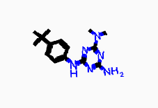 CN(C)c1nc(N)nc(Nc2ccc(C(C)(C)C)cc2)n1